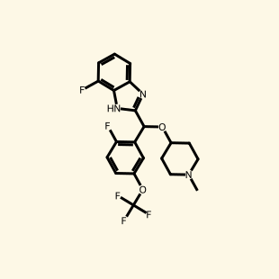 CN1CCC(OC(c2nc3cccc(F)c3[nH]2)c2cc(OC(F)(F)F)ccc2F)CC1